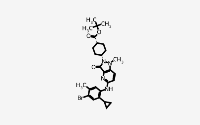 Cc1cc(Nc2ccc3c(n2)c(=O)n([C@H]2CC[C@@H](C(=O)OC(C)(C)C)CC2)n3C)c(C2CC2)cc1Br